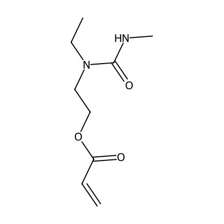 C=CC(=O)OCCN(CC)C(=O)NC